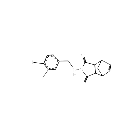 O=C1C2C3C=CC(C3)C2C(=O)N1NCc1ccc(Cl)c(Cl)c1